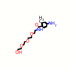 Cc1cc(N)ccc1C(=O)NCCOCCOCCOCCO